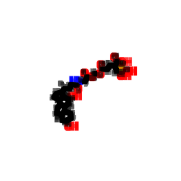 C[C@H](CCC(=O)NCC(=O)OCOC(=O)CCC(CP(O)(O)=S)C(=O)O)C1CCC2C3CC[C@@H]4C[C@H](O)CC[C@]4(C)C3C[C@H](O)[C@@]21C